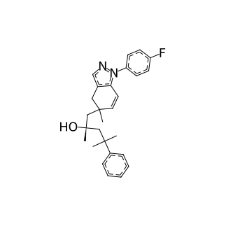 CC1(C[C@@](C)(O)CC(C)(C)c2ccccc2)C=Cc2c(cnn2-c2ccc(F)cc2)C1